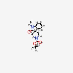 CCN1C(=O)C2(CCN(C(=O)OC(C)(C)C)CC2)c2ccccc21